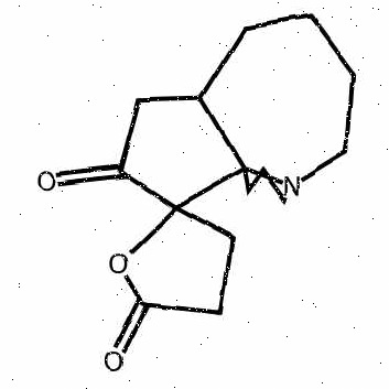 O=C1CCC2(O1)C(=O)CC1CCCCN3CCCC132